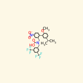 COc1ccc(C(C)C)cc1-c1ccc([N+](=O)[O-])cc1CN(Cc1cc(C(F)(F)F)cc(C(F)(F)F)c1)C(=O)O